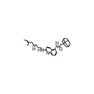 C/C=C(\C)CNCCCNc1ccc2c(NC(=O)CC34CC5CC(CC(C5)C3)C4)cccc2n1